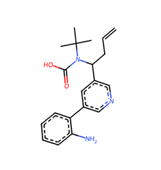 C=CCC(c1cncc(-c2ccccc2N)c1)N(C(=O)O)C(C)(C)C